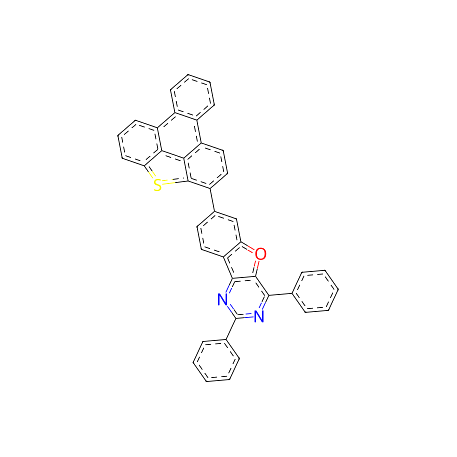 c1ccc(-c2nc(-c3ccccc3)c3oc4cc(-c5ccc6c7ccccc7c7cccc8sc5c6c87)ccc4c3n2)cc1